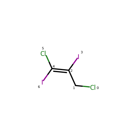 ClC/C(I)=C(/Cl)I